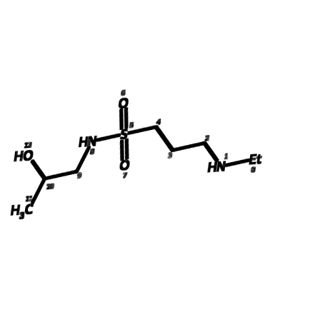 CCNCCCS(=O)(=O)NCC(C)O